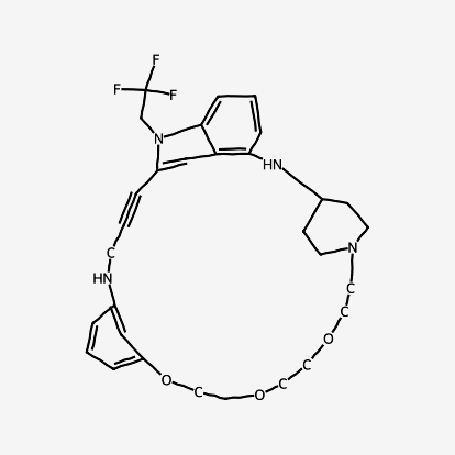 FC(F)(F)Cn1c2cc3c(cccc31)NC1CCN(CCOCCOCCOc3cccc(c3)NCC#C2)CC1